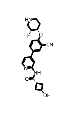 N#Cc1cc(-c2ccnc(NC(=O)[C@H]3C[C@H](O)C3)c2)ccc1O[C@H]1CCNC[C@H]1F